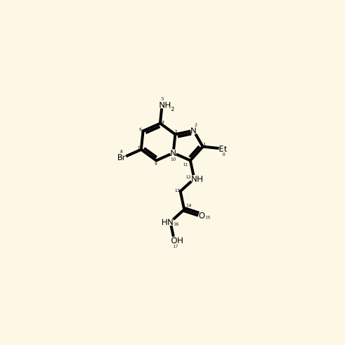 CCc1nc2c(N)cc(Br)cn2c1NCC(=O)NO